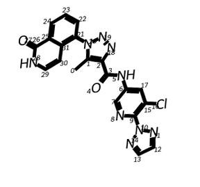 Cc1c(C(=O)Nc2cnc(-n3nccn3)c(Cl)c2)nnn1-c1cccc2c(=O)[nH]ccc12